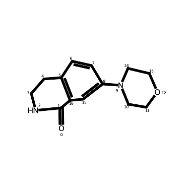 O=C1NCCc2ccc(N3CCOCC3)cc21